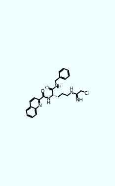 N=C(CCl)NCCC[C@H](NC(=O)c1ccc2ccccc2n1)C(=O)NCc1ccccc1